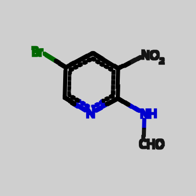 O=CNc1ncc(Br)cc1[N+](=O)[O-]